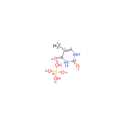 Cc1c[nH]c(=O)[nH]c1=O.O=S(=O)(O)O